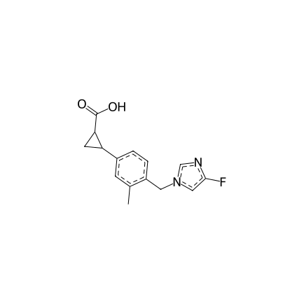 Cc1cc(C2CC2C(=O)O)ccc1Cn1cnc(F)c1